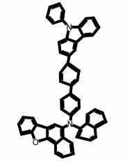 c1ccc(-n2c3ccccc3c3cc(-c4ccc(-c5ccc(N(c6cccc7ccccc67)c6cc7c8ccccc8oc7c7ccccc67)cc5)cc4)ccc32)cc1